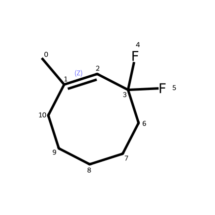 C/C1=C/C(F)(F)CCCCC1